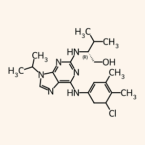 CC1=C(C)C(Cl)CC(Nc2nc(N[C@@H](CO)C(C)C)nc3c2ncn3C(C)C)=C1